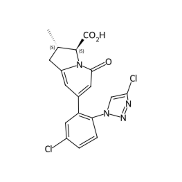 C[C@H]1Cc2cc(-c3cc(Cl)ccc3-n3cc(Cl)nn3)cc(=O)n2[C@@H]1C(=O)O